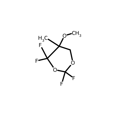 COC1(C)COC(F)(F)OC1(F)F